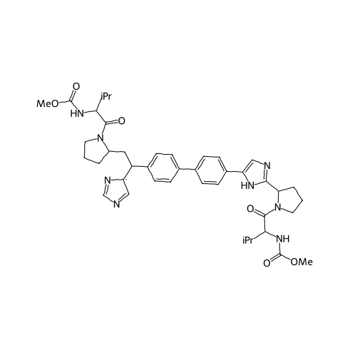 COC(=O)NC(C(=O)N1CCCC1CC([C]1C=NC=N1)c1ccc(-c2ccc(-c3cnc(C4CCCN4C(=O)C(NC(=O)OC)C(C)C)[nH]3)cc2)cc1)C(C)C